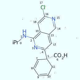 CC(C)Nc1nc([C@]2(C(=O)O)C=CC=CC2)cc2cnc(Cl)cc12